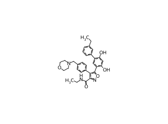 CCNC(=O)c1noc(-c2cc(-c3cccc(CC)c3)c(O)cc2O)c1-c1ccc(CN2CCOCC2)cc1